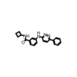 O=C(NC1CCC1)c1cccc(Nc2ccc(-c3ccccc3)nn2)c1